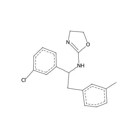 Cc1cccc(CC(NC2=NCCO2)c2cccc(Cl)c2)c1